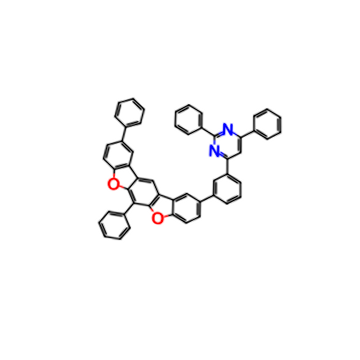 c1ccc(-c2ccc3oc4c(-c5ccccc5)c5oc6ccc(-c7cccc(-c8cc(-c9ccccc9)nc(-c9ccccc9)n8)c7)cc6c5cc4c3c2)cc1